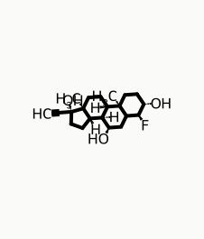 C#C[C@]1(O)CC[C@H]2[C@@H]3[C@H](O)CC4[C@H](F)[C@@H](O)CC[C@]4(C)[C@H]3CC[C@@]21C